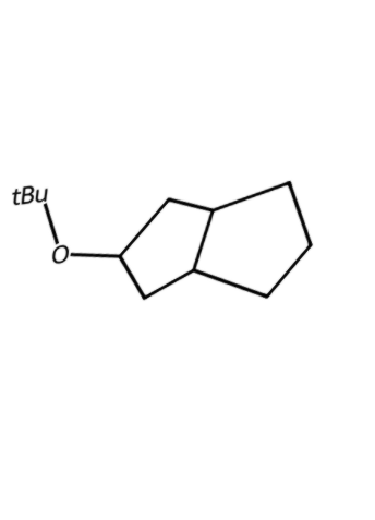 CC(C)(C)OC1CC2CCCC2C1